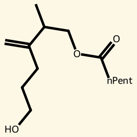 C=C(CCCO)C(C)COC(=O)CCCCC